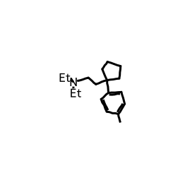 CCN(CC)CCC1(c2ccc(C)cc2)CCCC1